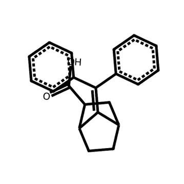 O=C(O)C1CC2CCC1C2=C(c1ccccc1)c1ccccc1